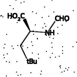 CC(C)(C)C[C@H](NC=O)C(=O)O